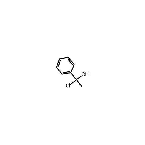 CC(O)(Cl)c1ccccc1